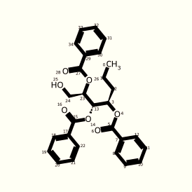 CCC[C@@H](OC(=O)c1ccccc1)[C@H](OC(=O)c1ccccc1)[C@@H](CO)OC(=O)c1ccccc1